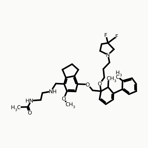 COc1cc(OCC2(OCCCN3CCC(F)(F)C3)C=CC=C(c3ccccc3C)C2C)c2c(c1CNCCNC(C)=O)CCC2